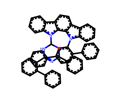 c1ccc(-c2ccc(-c3ccccc3)c(-n3c4ccccc4c4ccc5c6ccccc6n(C6NC(c7ccccc7-c7ccccc7)=NC(c7ccccc7)N6)c5c43)c2)cc1